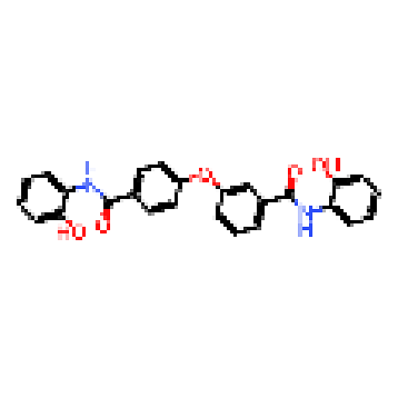 O=C(Nc1ccccc1O)c1ccc(Oc2cccc(C(=O)Nc3ccccc3O)c2)cc1